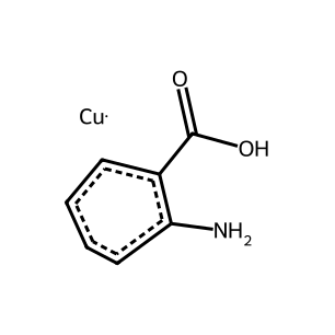 Nc1ccccc1C(=O)O.[Cu]